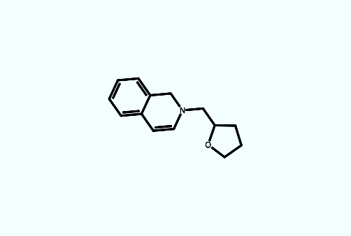 C1=CN(CC2CCCO2)Cc2ccccc21